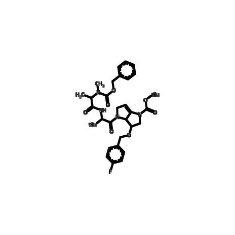 CC(C(=O)NC(C(=O)N1CC=C2C1C(OCc1ccc(F)cc1)CN2C(=O)OC(C)(C)C)C(C)(C)C)N(C)C(=O)OCc1ccccc1